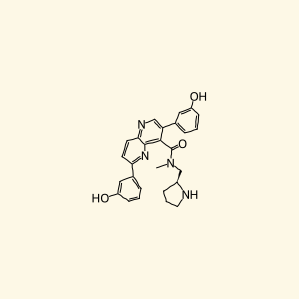 CN(C[C@@H]1CCCN1)C(=O)c1c(-c2cccc(O)c2)cnc2ccc(-c3cccc(O)c3)nc12